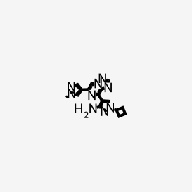 Cn1cc(-c2cn3ncnc3c(-c3cn(C4CCC4)nc3N)n2)cn1